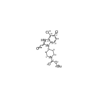 CC(C)(C)OC(=O)N1CCC(N2C(=C=O)Nc3c2ccc(Cl)c3Cl)CC1